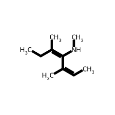 C/C=C(C)\C(NC)=C(\C)CC